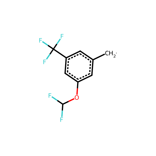 [CH2]c1cc(OC(F)F)cc(C(F)(F)F)c1